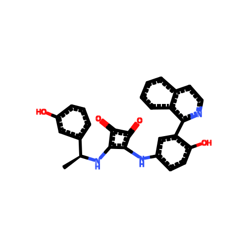 C[C@H](Nc1c(Nc2ccc(O)c(-c3nccc4ccccc34)c2)c(=O)c1=O)c1cccc(O)c1